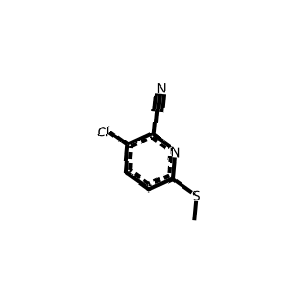 CSc1ccc(Cl)c(C#N)n1